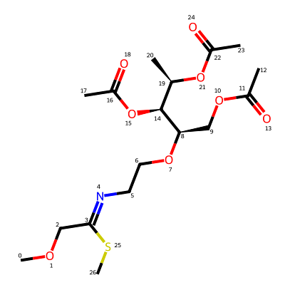 COC/C(=N/CCO[C@H](COC(C)=O)[C@@H](OC(C)=O)[C@@H](C)OC(C)=O)SC